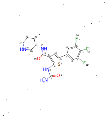 NC(=O)Nc1sc(-c2cc(F)c(Cl)c(F)c2)cc1C(=O)N[C@H]1CCCNC1